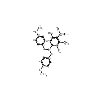 COc1ccc(CN(Cc2ccc(OC)cc2)c2cc(Br)c(C(F)F)c(C)c2F)cc1